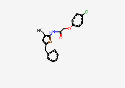 N#Cc1cc(Cc2ccccc2)sc1NC(=O)COc1ccc(Cl)cc1